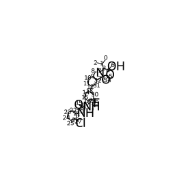 CC(C)[C@@H](C(=O)O)N1Cc2ccc(-c3ccc(NC(=O)Nc4ccccc4Cl)c(F)c3)cc2C1=O